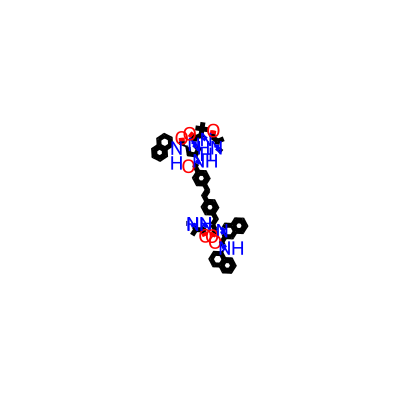 CNC(C)C(=O)NC(Cc1ccc(C=Cc2ccc(C(=O)N[C@H]3C[C@@H](C(=O)N[C@@H]4CCCc5ccccc54)N(C(=O)C(NC(=O)C(C)NC)C(C)(C)C)C3)cc2)cc1)C(=O)N1Cc2ccccc2CC1C(=O)N[C@@H]1CCCc2ccccc21